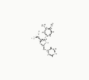 O=[N+]([O-])[C@@H]1CN(Cc2ccccc2)C[C@H]1c1ccc(Cl)c(Cl)c1